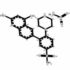 Cc1cc(O)nc2ccc(-c3cc(S(N)(=O)=O)ccc3N3CCOCC3)cc12.N[SH](=O)=O